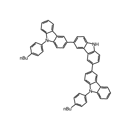 CCCCc1ccc(-n2c3ccccc3c3cc(-c4ccc5[nH]c6ccc(-c7ccc8c(c7)c7ccccc7n8-c7ccc(CCCC)cc7)cc6c5c4)ccc32)cc1